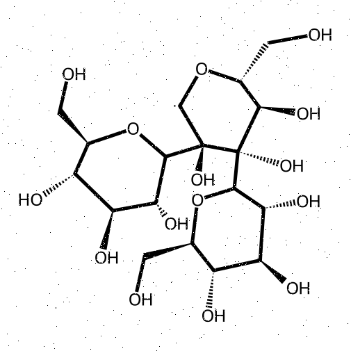 OC[C@H]1OC([C@]2(O)[CH]O[C@H](CO)[C@@H](O)[C@@]2(O)C2O[C@H](CO)[C@@H](O)[C@H](O)[C@H]2O)[C@H](O)[C@@H](O)[C@@H]1O